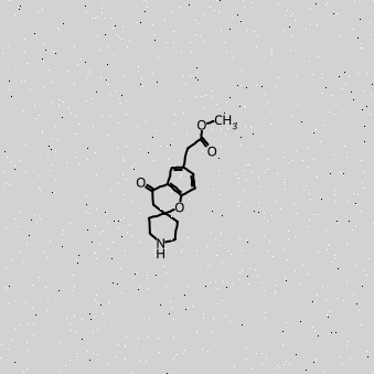 COC(=O)Cc1ccc2c(c1)C(=O)CC1(CCNCC1)O2